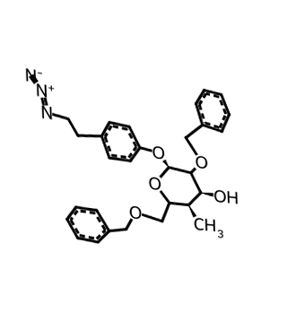 C[C@H]1C(COCc2ccccc2)O[C@@H](Oc2ccc(CCN=[N+]=[N-])cc2)C(OCc2ccccc2)[C@H]1O